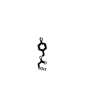 CCCCCCCCCC(=O)OCc1ccc(CC)cc1